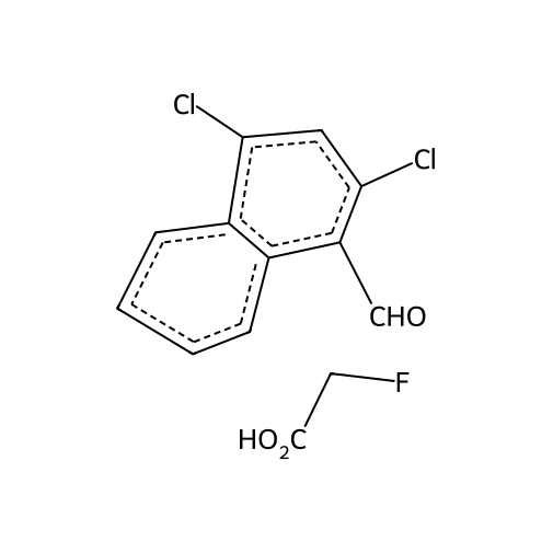 O=C(O)CF.O=Cc1c(Cl)cc(Cl)c2ccccc12